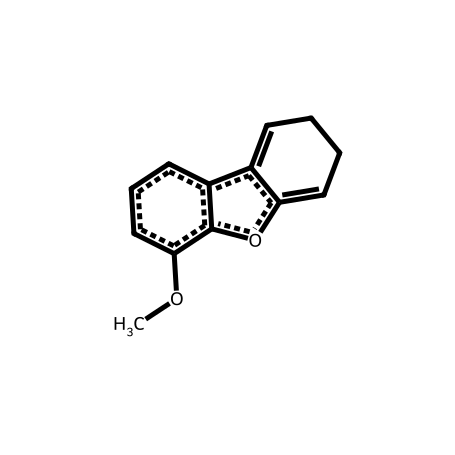 COc1cccc2c3c(oc12)=CCCC=3